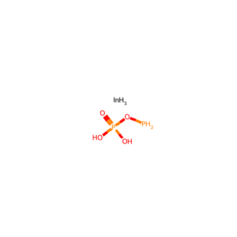 O=P(O)(O)OP.[InH3]